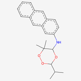 CC(C)C1OOC(C)(C)C(Nc2ccc3cc4ccccc4cc3c2)O1